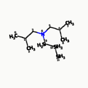 CC(C)CN(CC(C)C)[SiH2][SiH2][SiH3]